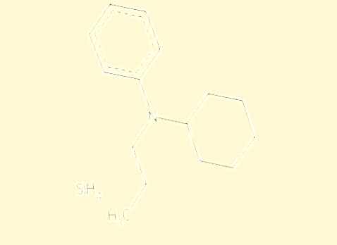 CCCN(c1ccccc1)C1CCCCC1.[SiH4]